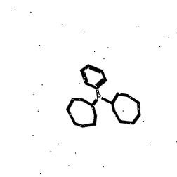 c1ccc(P(C2CCCCCCC2)C2CCCCCCC2)cc1